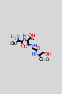 CCC(C)C(N)C(=O)N[C@H](C(=O)NCC(=O)N[C@H]([C]=O)CO)[C@H](C)O